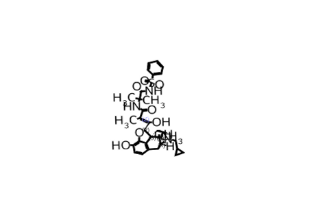 C/C(C(=O)NC(C)(C)C(=O)NS(=O)(=O)c1ccccc1)=C(/O)[C@@H]1Oc2c(O)ccc3c2[C@@]12CCN(CC1CC1)[C@H](C3)[C@@]2(C)O